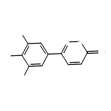 C=C1C=CC(c2cc(F)c(F)c(F)c2)=NN1